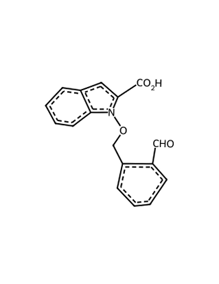 O=Cc1ccccc1COn1c(C(=O)O)cc2ccccc21